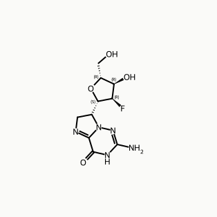 NC1=NN2C(=NCC2[C@@H]2O[C@H](CO)[C@@H](O)[C@H]2F)C(=O)N1